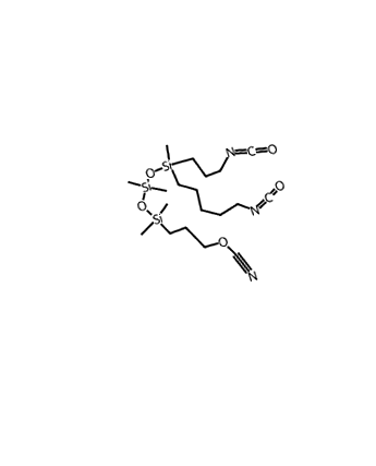 C[Si](C)(CCCOC#N)O[Si](C)(C)O[Si](C)(CCCCCN=C=O)CCCN=C=O